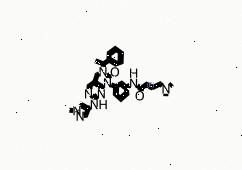 CC(c1ccccc1)N1Cc2cnc(Nc3cnn(C)c3)nc2N(c2cccc(NC(=O)/C=C/CN(C)C)c2)C1=O